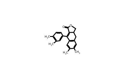 Cc1ccc(C2=C3C(=O)OCC3Cc3cc(C)c(C)cc32)cc1C